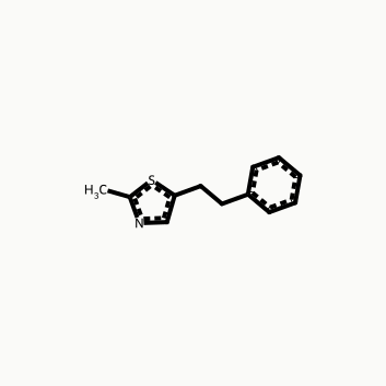 Cc1ncc(CCc2ccccc2)s1